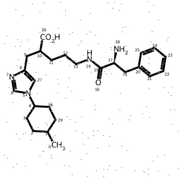 CC1CCC(n2cnc(CC(CCCNC(=O)[C@@H](N)Cc3ccccc3)C(=O)O)c2)CC1